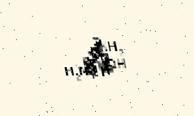 NC(=O)[C@@H]1CCN(Cc2csc3c(N)nccc23)C1=O.O=C(O)C(F)(F)F